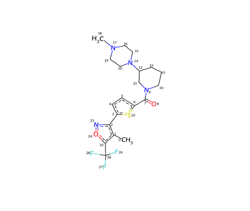 Cc1c(-c2ccc(C(=O)N3CCCC(N4CCN(C)CC4)C3)s2)noc1C(F)(F)F